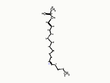 CCCC/C=C\CCCCCCCCC=COC(C)=O